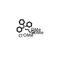 CO[Si](CCC[P+](c1ccccc1)(c1ccccc1)c1ccccc1)(OC)OC.[Cl-]